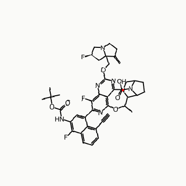 C#Cc1cccc2c(F)c(NC(=O)OC(C)(C)C)cc(-c3nc4c5c(nc(OCC67C[C@@H](F)CN6CCC7=C)nc5c3F)N3CC5CCC(C3C(C)O4)N5C(=O)O)c12